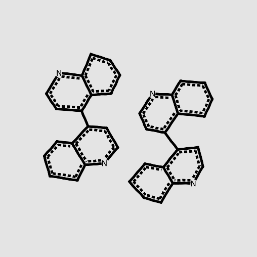 c1ccc2c(-c3ccnc4ccccc34)ccnc2c1.c1ccc2c(-c3ccnc4ccccc34)ccnc2c1